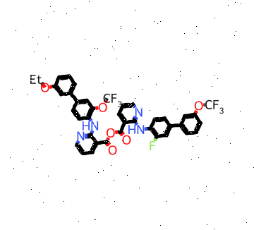 CCOc1cccc(-c2ccc(Nc3ncccc3C(=O)OC(=O)c3cccnc3Nc3ccc(-c4cccc(OC(F)(F)F)c4)cc3F)c(OC(F)(F)F)c2)c1